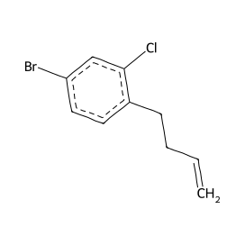 C=CCCc1ccc(Br)cc1Cl